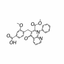 COC(=O)c1c(Cc2ccc(C(=O)O)cc2OC)c(=O)c2cccnc2n1-c1ccccc1